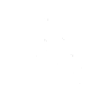 CCS(=O)(=O)c1nc2ncn(-c3c(C)cccc3F)c(=O)c2s1